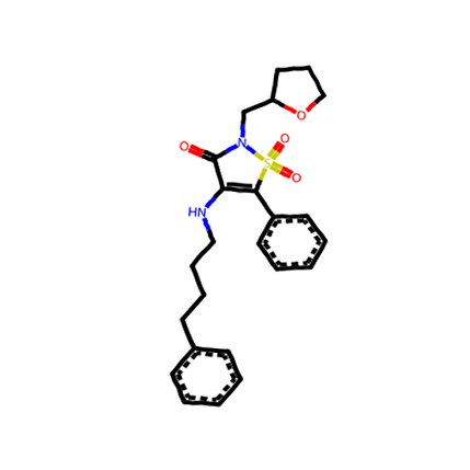 O=C1C(NCCCCc2ccccc2)=C(c2ccccc2)S(=O)(=O)N1CC1CCCO1